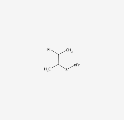 CCCSC(C)C(C)C(C)C